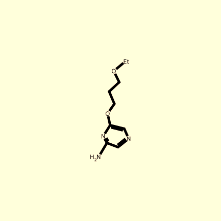 CCOCCCOc1cncc(N)n1